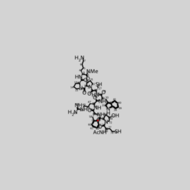 CNC(=O)[C@H](CCCCN)NC(=O)[C@@H]1CCCN1C(=O)[C@@H]1CCCN1C(=O)[C@H](CS)NC(=O)[C@H](Cc1c[nH]c2ccccc12)NC(=O)[C@H](CCCNC(=N)N)NC(=O)[C@@H](Cc1ccccc1)NC(=O)[C@@H]1C[C@@H](O)CN1C(=O)[C@H](CCS)NC(C)=O